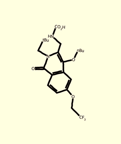 CCCCOc1c(CNC(=O)O)n(CC(C)(C)C)c(=O)c2ccc(OCC(F)(F)F)cc12